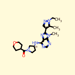 CCn1ncc(-c2nc3c(N[C@H]4CCN(C(=O)C5CCOCC5)C4)ncnc3n2C)c1C